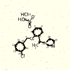 C=C(c1ccccc1OCc1cccc(Cl)c1)n1ccnc1.Cl.O=[N+]([O-])O